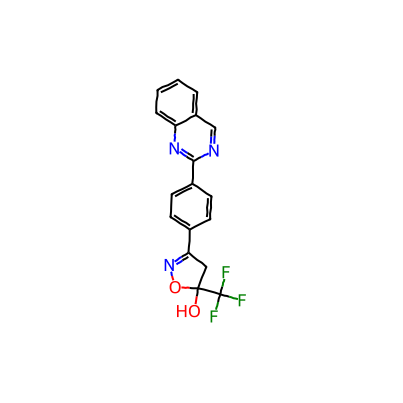 OC1(C(F)(F)F)CC(c2ccc(-c3ncc4ccccc4n3)cc2)=NO1